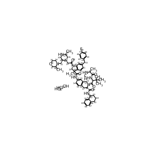 CNC(C)C(=O)NC(C(=O)N1Cc2cc(NC(=O)C3(C)CN(C(=O)CN4C[C@@H](C)NC[C@@H]4CN4CCOCC4C)c4cc(Cc5ccc(F)cc5)ccc43)ccc2C[C@H]1C(=O)N[C@@H]1CCCc2ccccc21)C(C)(C)C.Cl.Cl.Cl